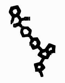 Cn1cc(-c2cc(-c3ccc(N4CCN(C(=O)C(O)c5ccccc5F)CC4)nc3)c3ccnn3c2)cn1